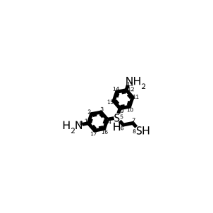 Nc1ccc([SH](CCS)c2ccc(N)cc2)cc1